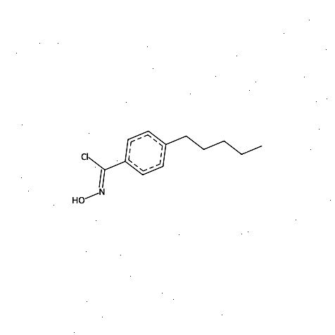 CCCCCc1ccc(/C(Cl)=N/O)cc1